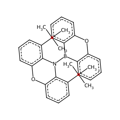 CC(C)(C)c1cccc2c1N(B1c3ccccc3Oc3ccccc31)c1c(cccc1C(C)(C)C)O2